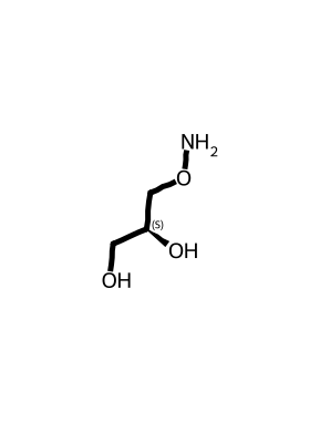 NOC[C@@H](O)CO